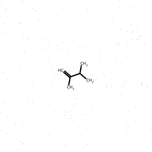 [CH]=C(C)C([CH2])C